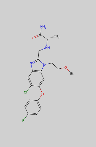 CCOCCn1c(CN[C@@H](C)C(N)=O)nc2cc(Cl)c(Oc3ccc(F)cc3)cc21